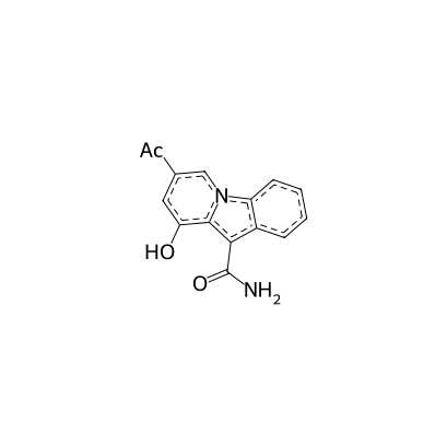 CC(=O)c1cc(O)c2c(C(N)=O)c3ccccc3n2c1